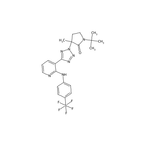 CC(C)(C)N1CCC(C)(n2nnc(-c3cccnc3Nc3ccc(S(F)(F)(F)(F)F)cc3)n2)C1=O